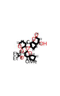 CC[Si](CC)(CC)O[C@@H]1[C@H](OC2CCCCO2)[C@@H](Oc2ccc3c(O)cc(=O)oc3c2C)OC2(CCCC2)[C@H]1OC